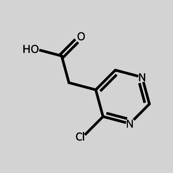 O=C(O)Cc1cncnc1Cl